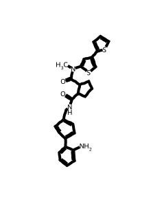 CN(C(=O)C1CCCC1C(=O)NCc1ccc(-c2ccccc2N)cc1)c1cc(-c2cccs2)cs1